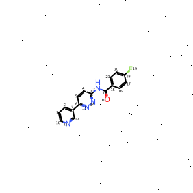 O=C(Nc1ccc(-c2cccnc2)nn1)c1ccc(F)cc1